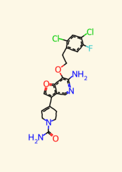 NC(=O)N1CC=C(c2coc3c(OCCc4cc(F)c(Cl)cc4Cl)c(N)ncc23)CC1